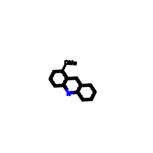 COc1cccc2nc3ccccc3cc12